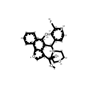 COC(=O)c1coc2c1c(C(c1ccnc(F)c1)N1CCOCC1)c(O)c1ccccc12